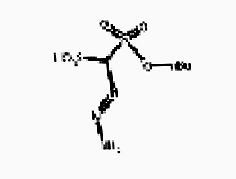 CCCCOS(=O)(=O)C(N=NN)S(=O)(=O)O